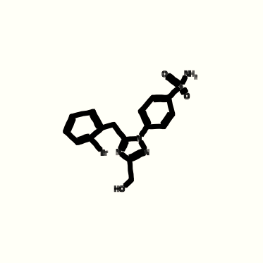 NS(=O)(=O)c1ccc(-n2nc(CO)nc2Cc2ccccc2Br)cc1